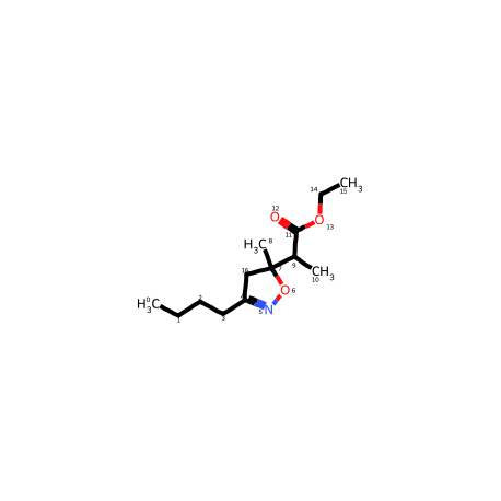 CCCCC1=NOC(C)(C(C)C(=O)OCC)C1